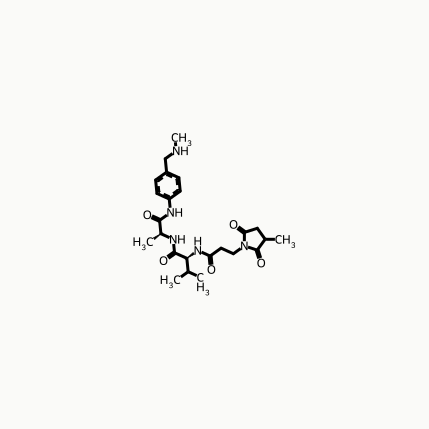 CNCc1ccc(NC(=O)[C@H](C)NC(=O)[C@@H](NC(=O)CCN2C(=O)CC(C)C2=O)C(C)C)cc1